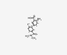 CN(C)C(=O)c1ccc(F)c(-c2ccc(N)c(C(=O)O)n2)c1